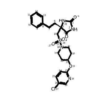 O=C1NC(=O)[C@](CCc2ccccc2)(CS(=O)(=O)N2CCC(Oc3ccc(Cl)cn3)CC2)N1